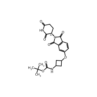 CC(C)(C)OC(=O)NC1CC(Oc2ccc3c(c2)C(=O)N([C@@H]2CCC(=O)NC2=O)C3=O)C1